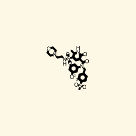 Cc1[nH]c(=O)c(C(=O)N(Cc2ccc(S(C)(=O)=O)cc2)c2cccc(C(F)(F)F)c2)cc1S(=O)(=O)NCCN1CCOCC1